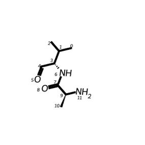 CC(C)[C@@H](C=O)NC(=O)[C@H](C)N